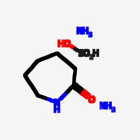 N.N.O=C1CCCCCN1.O=S(=O)(O)O